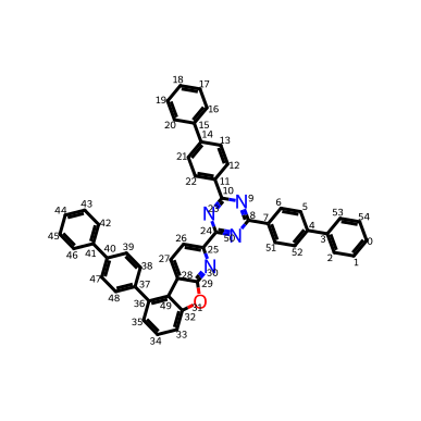 c1ccc(-c2ccc(-c3nc(-c4ccc(-c5ccccc5)cc4)nc(-c4ccc5c(n4)oc4cccc(-c6ccc(-c7ccccc7)cc6)c45)n3)cc2)cc1